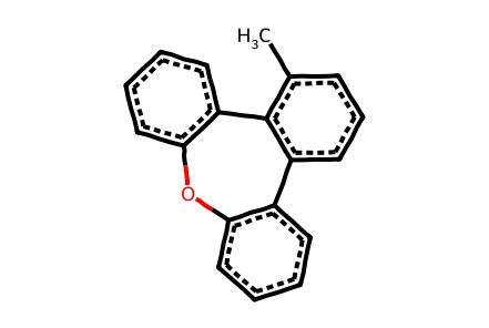 Cc1cccc2c1-c1ccccc1Oc1ccccc1-2